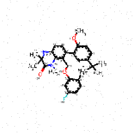 COc1ccc(C(C)(C)C)cc1-c1ccc2c(c1COc1cc(F)ccc1C)N(C)C(=O)C(C)(C)N2